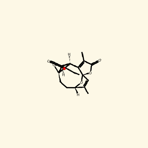 CC1=C[C@@]23OC(=O)C(C)=C2[C@H]2OC(=O)[C@]4(CC[C@@H]1O3)O[C@@H]24